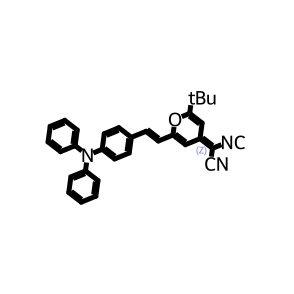 [C-]#[N+]/C(C#N)=C1/C=C(C=Cc2ccc(N(c3ccccc3)c3ccccc3)cc2)OC(C(C)(C)C)=C1